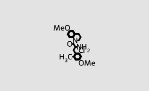 COc1cc(C)c(CC(N)C(=O)N2CCCc3cc(OC)ccc32)c(Cl)c1